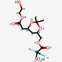 CC1(C)OC(COC(=O)C(F)(F)S(=O)(=O)O)CC(CC(=O)OCCO)O1